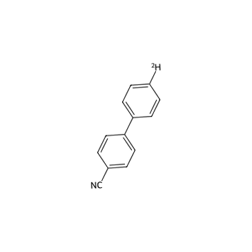 [2H]c1ccc(-c2ccc(C#N)cc2)cc1